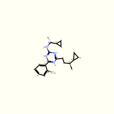 C[C@@H](CCc1nc(N[C@H](C)C2CC2)nc(-c2ccccc2Cl)n1)C1CC1